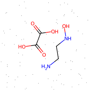 NCCNO.O=C(O)C(=O)O